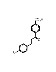 O=C(O)c1ccc(C(=O)C=Cc2ccc(Br)cc2)cc1